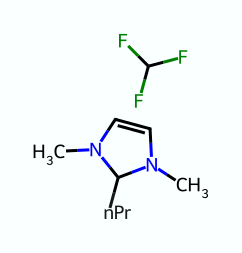 CCCC1N(C)C=CN1C.FC(F)F